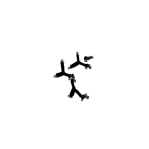 NC(=S)[S-].NC(=S)[S-].NC(=S)[S-].[Au+3]